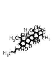 CCCCCc1cc(C(C)C)c2c(c1O)C(=O)C1=C(O)[C@@]3(O)C(=O)C(C(C)=O)=C(O)C(C(C)C)[C@@]3(C)C[C@@]1(C)C2